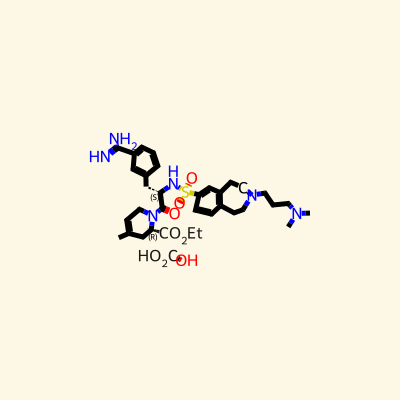 CCOC(=O)[C@H]1CC(C)=CCN1C(=O)[C@H](Cc1cccc(C(=N)N)c1)NS(=O)(=O)c1ccc2c(c1)CCN(CCCN(C)C)CC2.O=C(O)O